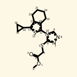 COC(=O)CSc1nncn1-c1sc(C2CC2)c2c1CCCC2